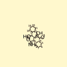 CN(C(=O)c1ccccc1)C(CC(N)=O)C(O)c1ccccc1